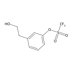 O=S(=O)(Oc1cccc(CCO)c1)C(F)(F)F